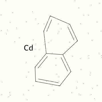 [Cd].c1ccc2ccccc2c1